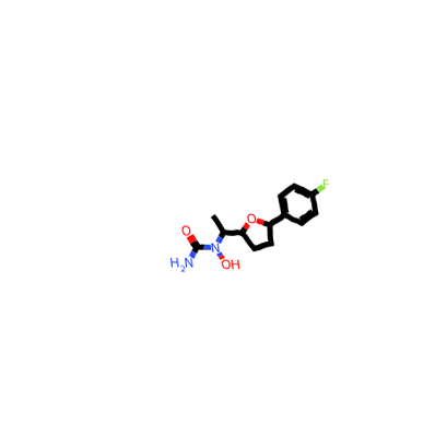 CC(C1CCC(c2ccc(F)cc2)O1)N(O)C(N)=O